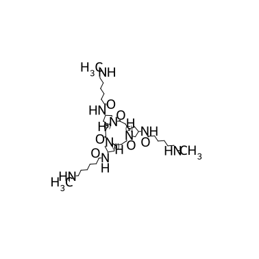 CNCCCCCC(=O)NC1C[C@H]2CC(=O)N3CC(NC(=O)CCCCCNC)C[C@H]3CC(=O)N3CC(NC(=O)CCCCCNC)C[C@H]3CC(=O)N2C1